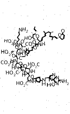 C/C=C/[C@@H]1O[C@H]([C@@H](/C=C/C=C(\C)C[C@@H](C)/C=C(C)\C=C\[C@H]2CC=CC(=O)O2)NC(=O)OCCc2cn(CCC[C@H](NC(=O)[C@@H](CC(=O)O)NC(=O)[C@@H](CC(=O)O)NC(=O)[C@@H](CC(=O)O)NC(=O)CC[C@H](NC(=O)c3ccc(NCc4cnc5nc(N)nc(O)c5n4)cc3)C(=O)O)C(=O)N[C@H](CC(=O)O)C(=O)N[C@H](CC(=O)O)C(=O)N[C@H](CCCCN)C(=O)O)nn2)C[C@@H](O)[C@@H]1C